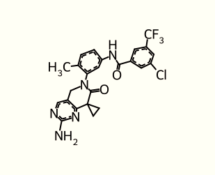 Cc1ccc(NC(=O)c2cc(Cl)cc(C(F)(F)F)c2)cc1N1Cc2cnc(N)nc2C2(CC2)C1=O